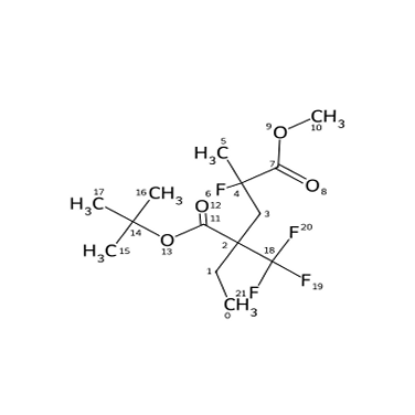 CCC(CC(C)(F)C(=O)OC)(C(=O)OC(C)(C)C)C(F)(F)F